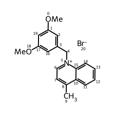 COc1cc(C[n+]2ccc(C)c3ccccc32)cc(OC)c1.[Br-]